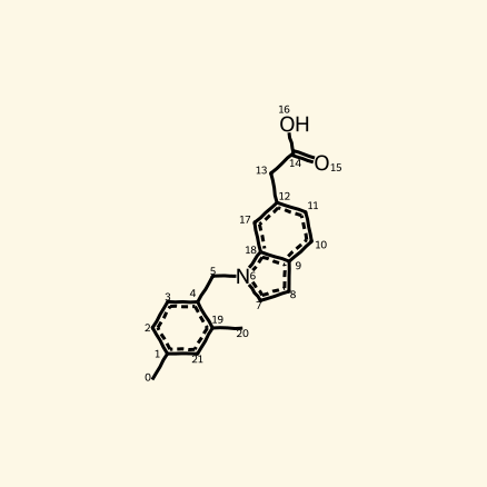 Cc1ccc(Cn2ccc3ccc(CC(=O)O)cc32)c(C)c1